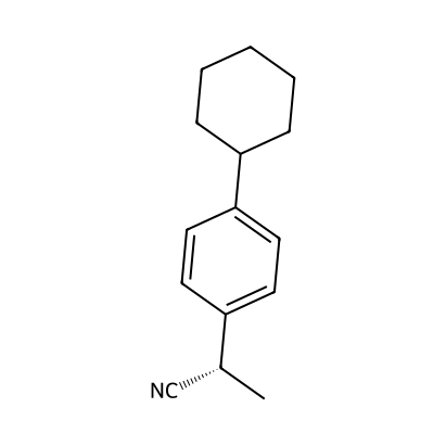 C[C@H](C#N)c1ccc(C2CCCCC2)cc1